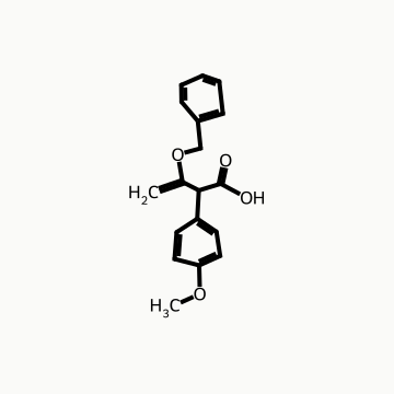 C=C(OCc1ccccc1)C(C(=O)O)c1ccc(OC)cc1